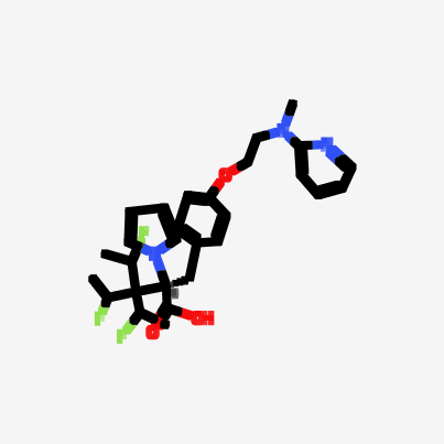 CC(F)C(C(C)F)(C(C)F)[C@](Cc1ccc(OCCN(C)c2ccccn2)cc1)(C(=O)O)n1cccc1